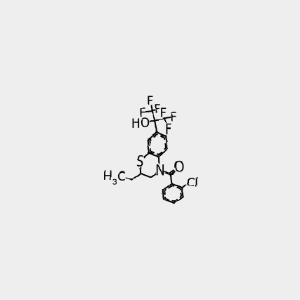 CCC1CN(C(=O)c2ccccc2Cl)c2ccc(C(O)(C(F)(F)F)C(F)(F)F)cc2S1